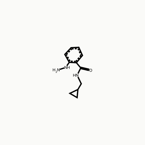 NNc1ccccc1C(=O)NCC1CC1